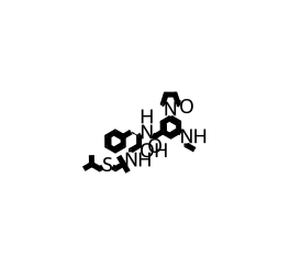 CCNc1cc(C(=O)N[C@@H](Cc2ccccc2)[C@H](O)CNC(C)(C)CSCC(C)C)cc(N2CCCC2=O)c1